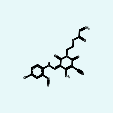 C=CC(=O)OCCN1C(=O)C(C#N)=C(C)/C(=N/Nc2ccc(Cl)cc2N=O)C1=O